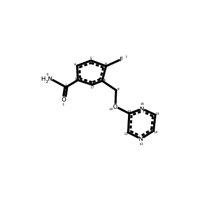 NC(=O)c1ccc(F)c(COc2cnccn2)c1